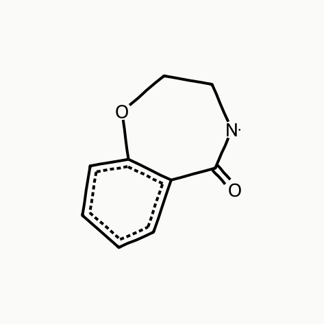 O=C1[N]CCOc2ccccc21